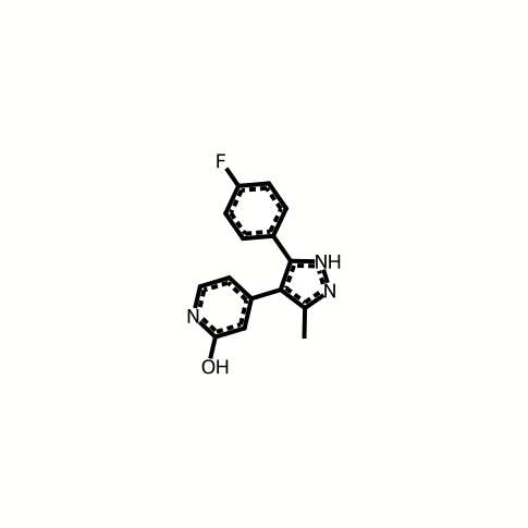 Cc1n[nH]c(-c2ccc(F)cc2)c1-c1ccnc(O)c1